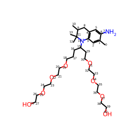 Cc1cc2c(cc1N)CC(C)C(C)(C)N2C(CCCOCCOCCOCCO)CCOCCOCCOCCO